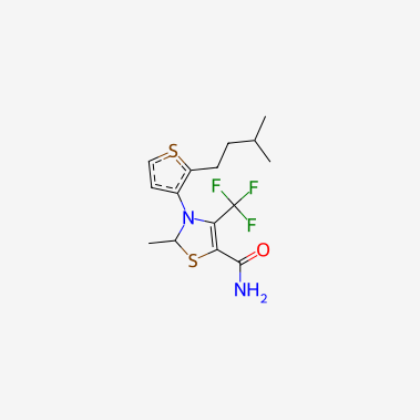 CC(C)CCc1sccc1N1C(C(F)(F)F)=C(C(N)=O)SC1C